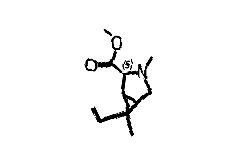 CCC1(C)C2CN(C)[C@H](C(=O)OC)C21